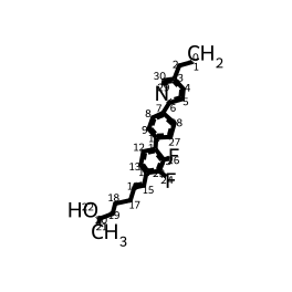 C=CCc1ccc(-c2ccc(-c3ccc(C=CCCCC(C)O)c(F)c3F)cc2)nc1